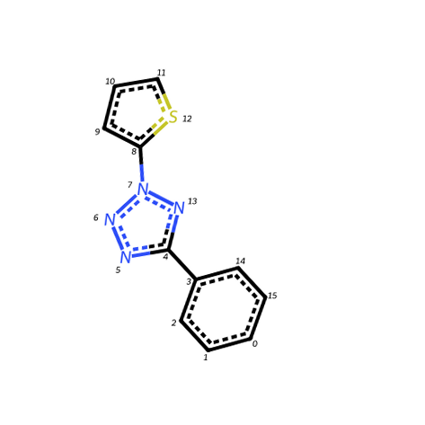 c1ccc(-c2nnn(-c3cccs3)n2)cc1